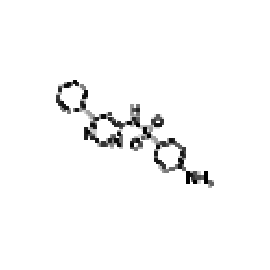 Nc1ccc(S(=O)(=O)Nc2cc(-c3ccccc3)ncn2)cc1